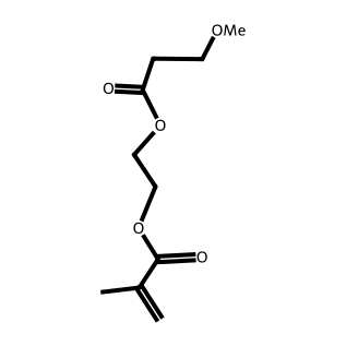 C=C(C)C(=O)OCCOC(=O)CCOC